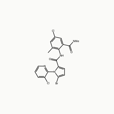 CNC(=O)c1cc(Cl)cc(C)c1NC(=O)c1ccc(Br)n1-c1ncccc1Cl